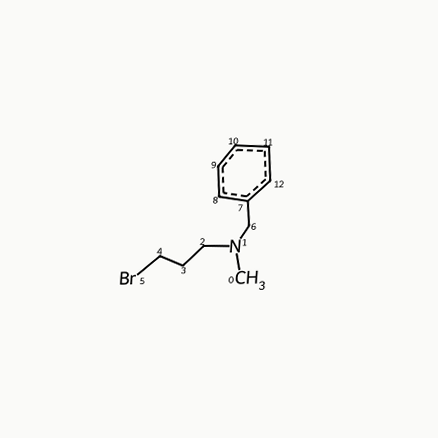 CN(CCCBr)Cc1ccccc1